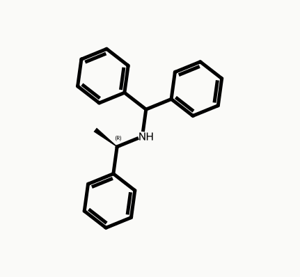 C[C@@H](NC(c1ccccc1)c1ccccc1)c1ccccc1